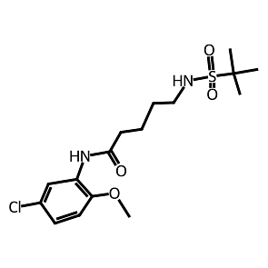 COc1ccc(Cl)cc1NC(=O)CCCCNS(=O)(=O)C(C)(C)C